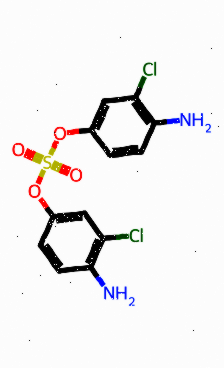 Nc1ccc(OS(=O)(=O)Oc2ccc(N)c(Cl)c2)cc1Cl